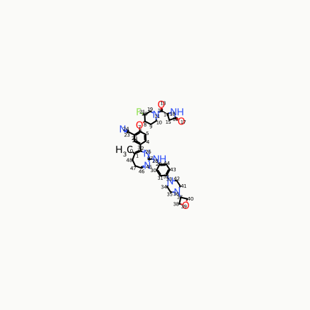 C/C1=C(c2ccc(OC3CCN(C(=O)[C@@H]4CC(=O)N4)CC3F)c(C#N)c2)/N=C(Nc2ccc(N3CCN(C4COC4)CC3)cc2)\N=C/CC1